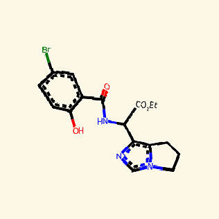 CCOC(=O)C(NC(=O)c1cc(Br)ccc1O)c1ncn2c1CCC2